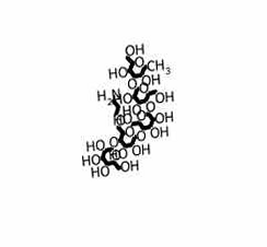 CC1OC(CO)C(O)C(OC2OC(CO)C(OC3OC(CO)C(OC4OC(COCCCN)C(OC5OC(CO)C(O)C(O)C5O)C(O)C4O)C(O)C3O)C(O)C2O)C1O